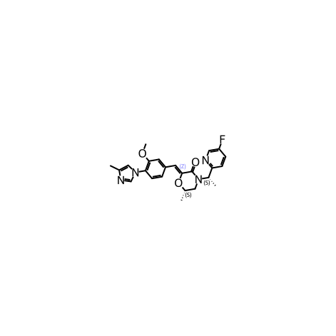 COc1cc(/C=C2\O[C@@H](C)CN([C@@H](C)c3ccc(F)cn3)C2=O)ccc1-n1cnc(C)c1